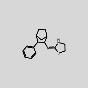 c1ccc(C2C3CCC(C3)C2N=C2NCCO2)cc1